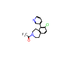 O=C(N1CCc2ccc(Cl)c(-c3cccnc3)c2CC1)C(F)(F)F